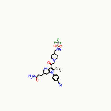 Cc1c(C(=O)CN2CCC(CNS(=O)(=O)C(F)(F)F)CC2)c2ncc(CCC(N)=O)cc2n1-c1ccc(C#N)cc1